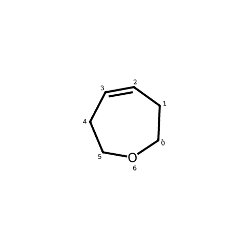 [CH]1CC=CCCO1